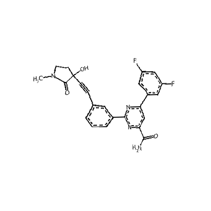 CN1CCC(O)(C#Cc2cccc(-c3nc(C(N)=O)cc(-c4cc(F)cc(F)c4)n3)c2)C1=O